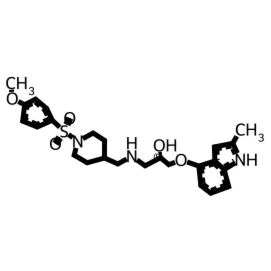 COc1ccc(S(=O)(=O)N2CCC(CNC[C@@H](O)COc3cccc4[nH]c(C)cc34)CC2)cc1